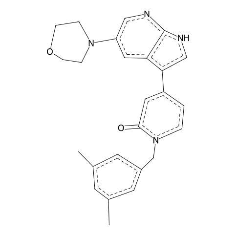 Cc1cc(C)cc(Cn2ccc(-c3c[nH]c4ncc(N5CCOCC5)cc34)cc2=O)c1